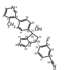 Cc1ccncc1-c1ccc([C@@]2(O)C[C@H](c3ccc(C#N)cc3F)n3cncc32)cc1